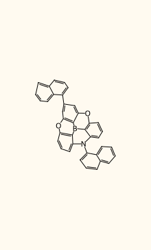 c1cc2c3c(c1)N(c1cccc4ccccc14)c1cccc4c1B3c1c(cc(-c3cccc5ccccc35)cc1O4)O2